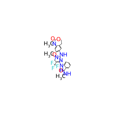 CNC(=O)c1ccccc1Nc1nc(Nc2cc3c(cc2OC)N(C)C(=O)OCC3)ncc1C(F)(F)F